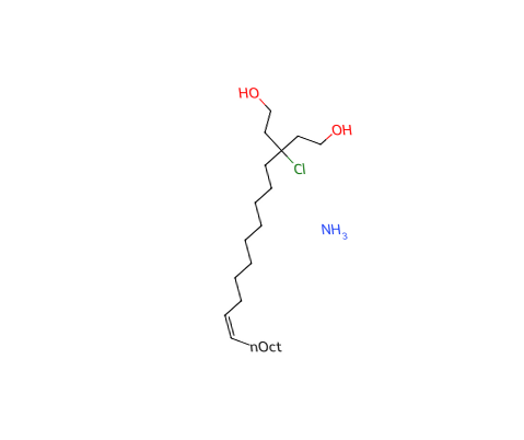 CCCCCCCC/C=C\CCCCCCCCC(Cl)(CCO)CCO.N